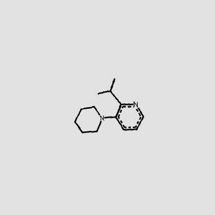 CC(C)c1ncccc1N1CCCCC1